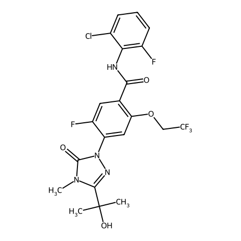 Cn1c(C(C)(C)O)nn(-c2cc(OCC(F)(F)F)c(C(=O)Nc3c(F)cccc3Cl)cc2F)c1=O